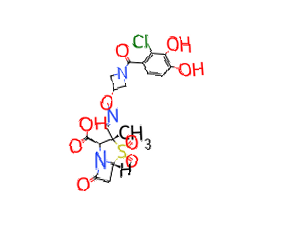 C[C@]1(/C=N/OC2CN(C(=O)c3ccc(O)c(O)c3Cl)C2)[C@H](C(=O)O)N2C(=O)C[C@H]2S1(=O)=O